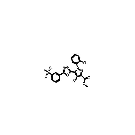 COC(=O)c1nn(-c2ccccc2Cl)c(-c2nnc(-c3cccc(S(C)(=O)=O)c3)o2)c1Br